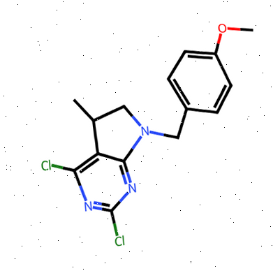 COc1ccc(CN2CC(C)c3c(Cl)nc(Cl)nc32)cc1